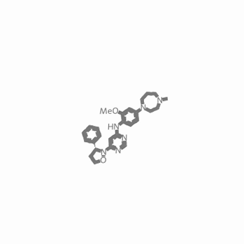 COc1cc(N2CCCN(C)CC2)ccc1Nc1cc(N2OCC[C@@H]2c2ccccc2)ncn1